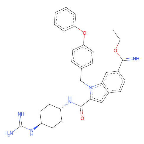 CCOC(=N)c1ccc2cc(C(=O)N[C@H]3CC[C@H](NC(=N)N)CC3)n(Cc3ccc(Oc4ccccc4)cc3)c2c1